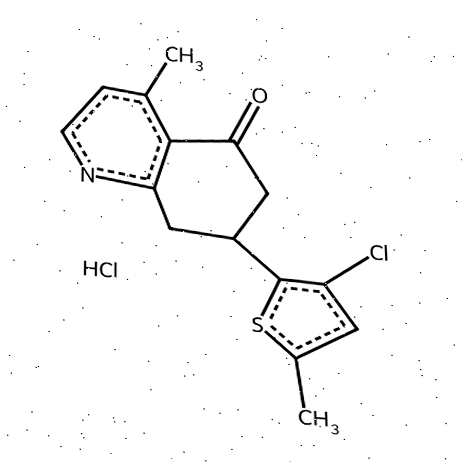 Cc1cc(Cl)c(C2CC(=O)c3c(C)ccnc3C2)s1.Cl